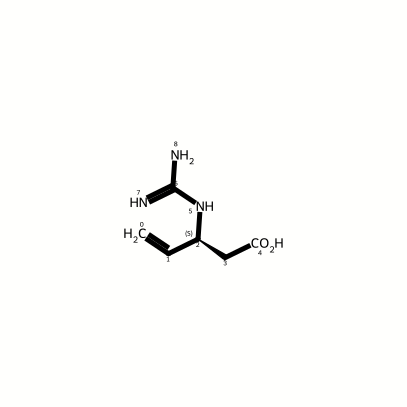 C=C[C@H](CC(=O)O)NC(=N)N